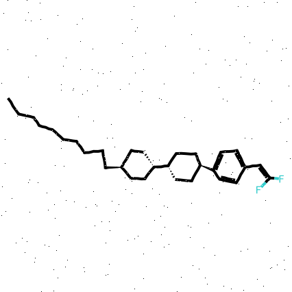 CCCCCCCCCC[C@H]1CC[C@H]([C@H]2CC[C@H](c3ccc(C=C(F)F)cc3)CC2)CC1